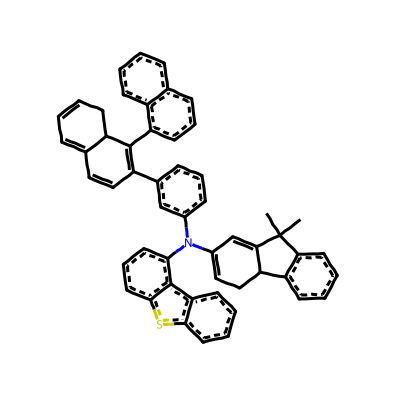 CC1(C)C2=CC(N(c3cccc(C4=C(c5cccc6ccccc56)C5CC=CC=C5C=C4)c3)c3cccc4sc5ccccc5c34)=CCC2c2ccccc21